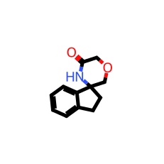 O=C1COCC2(CCc3ccccc32)N1